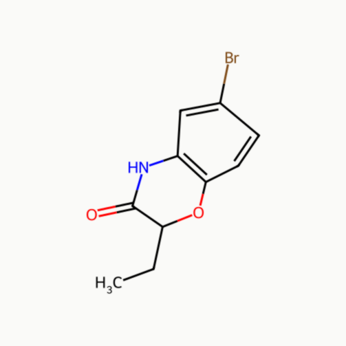 CCC1Oc2ccc(Br)cc2NC1=O